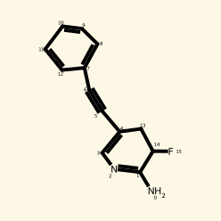 NC1=NC=C(C#Cc2ccccc2)CC1F